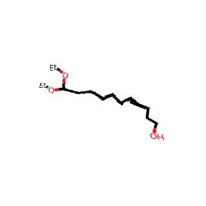 CCOC(CCCCC/C=C\CCO)OCC